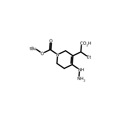 CCC(C(=O)O)C1=C(NN)CCN(C(=O)OC(C)(C)C)C1